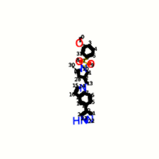 COc1cccc(S(=O)(=O)N2CC(Cn3ccc4cc(-c5cn[nH]c5)ccc43)C[C@@H]2C)c1